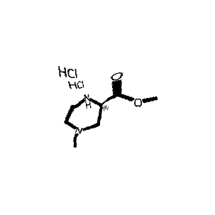 COC(=O)[C@H]1CN(C)CCN1.Cl.Cl